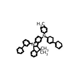 Cc1ccc(N(C2=CC=C(C3=CC=CCC3)CC2)c2ccc3c(c2)c2c(n3-c3cccc(-c4ccccc4)c3)-c3ccccc3C2(C)C)cc1